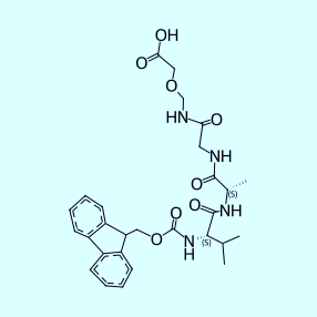 CC(C)[C@H](NC(=O)OCC1c2ccccc2-c2ccccc21)C(=O)N[C@@H](C)C(=O)NCC(=O)NCOCC(=O)O